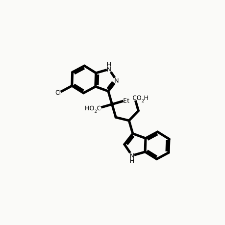 CCC(CC(CC(=O)O)c1c[nH]c2ccccc12)(C(=O)O)c1n[nH]c2ccc(Cl)cc12